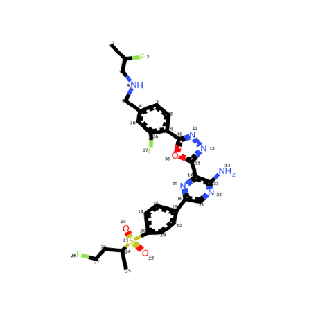 CC(F)CNCc1ccc(-c2nnc(-c3nc(-c4ccc(S(=O)(=O)C(C)CCF)cc4)cnc3N)o2)c(F)c1